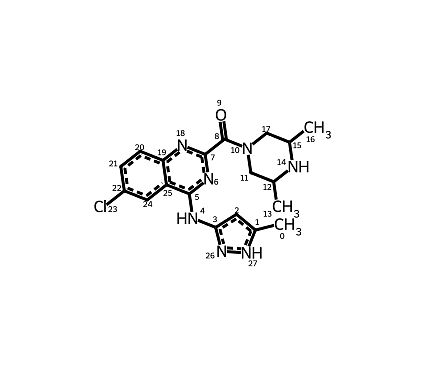 Cc1cc(Nc2nc(C(=O)N3CC(C)NC(C)C3)nc3ccc(Cl)cc23)n[nH]1